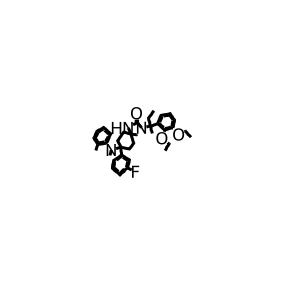 CCOc1cccc(C(C)(CC)N2CC3(CCC(c4cccc(F)c4)(N(C)c4ccccc4C)CC3)NC2=O)c1OCC